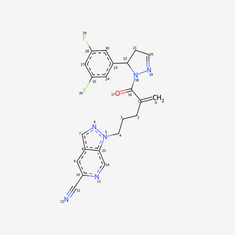 C=C(CCCn1ncc2cc(C#N)ncc21)C(=O)N1N=CCC1c1cc(F)cc(F)c1